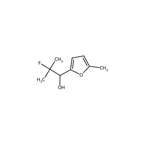 Cc1ccc(C(O)C(C)(C)F)o1